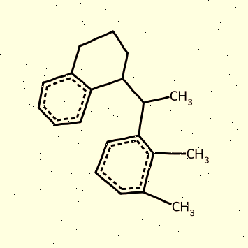 Cc1cccc(C(C)C2CCCc3ccccc32)c1C